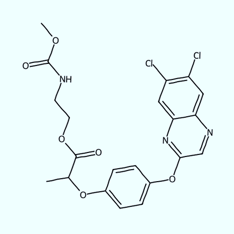 COC(=O)NCCOC(=O)C(C)Oc1ccc(Oc2cnc3cc(Cl)c(Cl)cc3n2)cc1